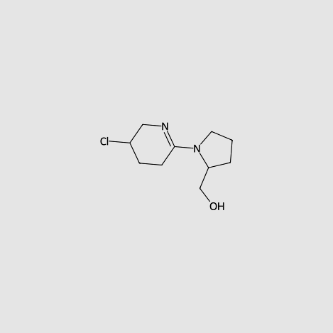 OCC1CCCN1C1=NCC(Cl)CC1